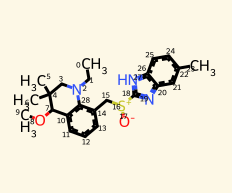 CCN1CC(C)(C)C(OC)c2cccc(C[S+]([O-])c3nc4cc(C)ccc4[nH]3)c21